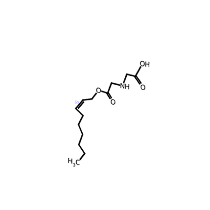 CCCCCC/C=C\COC(=O)CNCC(=O)O